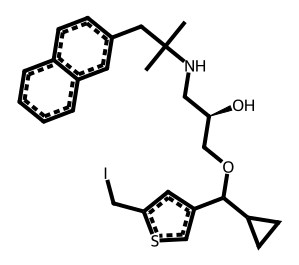 CC(C)(Cc1ccc2ccccc2c1)NC[C@@H](O)COC(c1csc(CI)c1)C1CC1